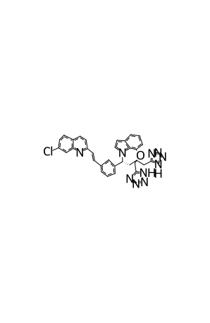 Clc1ccc2ccc(C=Cc3cccc([C@@H](CCCc4nnn[nH]4)n4ccc5cccc(OCc6nnn[nH]6)c54)c3)nc2c1